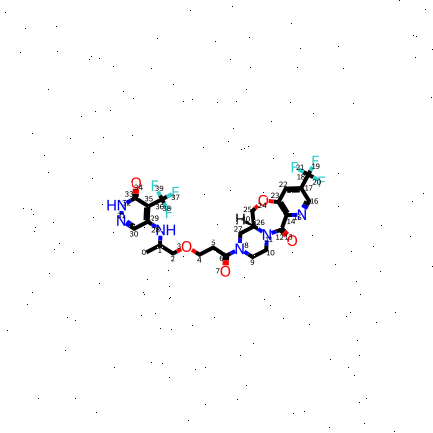 CC(COCCC(=O)N1CCN2C(=O)c3ncc(C(F)(F)F)cc3OC[C@H]2C1)Nc1cn[nH]c(=O)c1C(F)(F)F